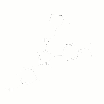 O=Cc1ccc(-c2nc(NCC3OCCO3)n(-c3ccc(OC(F)(F)F)cc3)n2)cc1